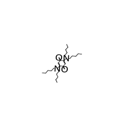 CCCCCN(CCCCC)C1=CC(=O)C(N(CCCCC)CCCCC)=CC1=O